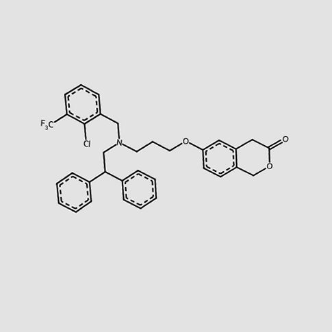 O=C1Cc2cc(OCCCN(Cc3cccc(C(F)(F)F)c3Cl)CC(c3ccccc3)c3ccccc3)ccc2CO1